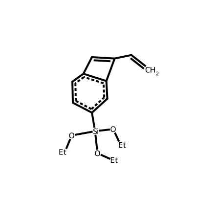 C=CC1=Cc2ccc([Si](OCC)(OCC)OCC)cc21